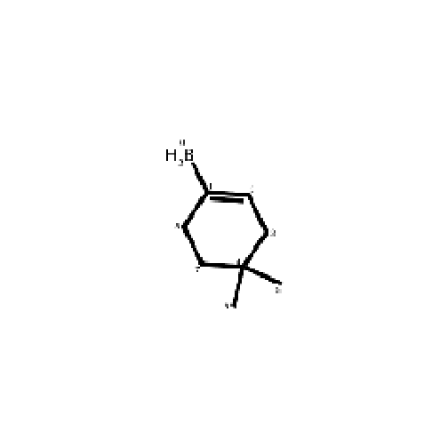 BC1=CCC(C)(C)CC1